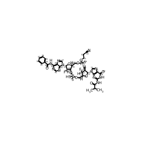 CC(C)C(=O)Nc1nc2c(ncn2[C@@H]2O[C@@H]3COP(=S)(S)O[C@H]4[C@H](F)[C@H](n5cnc6c(NC(=O)c7ccccc7)ncnc65)O[C@@H]4COP(=S)(OCCC#N)O[C@@H]2[C@@H]3F)c(=O)[nH]1